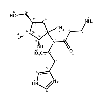 CC1(N(C(=O)CCN)C(Cc2c[nH]cn2)C(=O)O)O[C@H](CO)[C@@H](O)[C@@H]1O